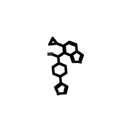 OC(c1c(C2CC2)ccn2cncc12)C1CCC(c2ccoc2)CC1